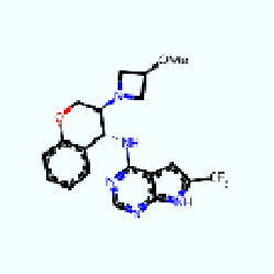 COC1CN([C@@H]2COc3ccccc3[C@H]2Nc2ncnc3[nH]c(C(F)(F)F)cc23)C1